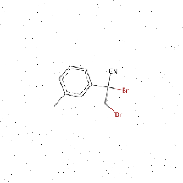 Cc1cccc(C(Br)(C#N)CBr)c1